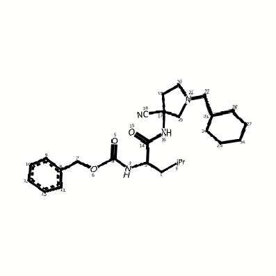 CC(C)CC(NC(=O)OCc1ccccc1)C(=O)NC1(C#N)CCN(CC2CCCCC2)C1